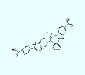 CCCn1c(-c2ccccc2C(=O)N2CC=C3C(C)(C)C(c4ccc(C(=O)O)cc4)=CC[C@]3(C)C2)nc2cc(C(=O)O)ccc21